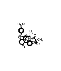 CCCN(C(=O)[C@H](C)NC(=O)[C@H](C)N)[C@@]1(C(=O)Nc2ccc([N+](=O)[O-])cc2)C(=O)CCC(=O)C1c1ccccc1